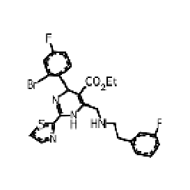 CCOC(=O)C1=C(CNCCc2cccc(F)c2)NC(c2nccs2)=NC1c1ccc(F)cc1Br